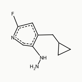 NNc1cnc(F)cc1CC1CC1